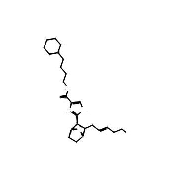 O=C(O)CCC=CCC1C2CCC(O2)C1c1nc(C(=O)NCCCCC2CCCCC2)co1